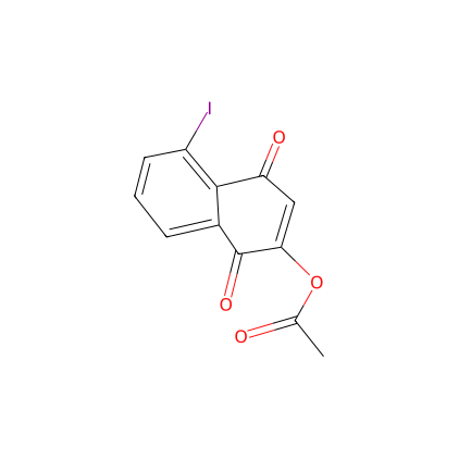 CC(=O)OC1=CC(=O)c2c(I)cccc2C1=O